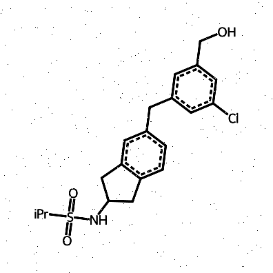 CC(C)S(=O)(=O)NC1Cc2ccc(Cc3cc(Cl)cc(CO)c3)cc2C1